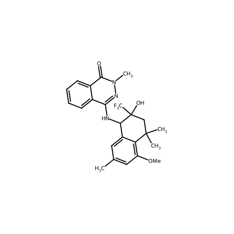 COc1cc(C)cc2c1C(C)(C)CC(O)(C(F)(F)F)C2Nc1nn(C)c(=O)c2ccccc12